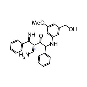 COc1cc(CO)cc(NC(C(=O)/C(=C/N)C(=N)c2ccccc2)c2ccccc2)c1